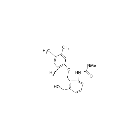 CNC(=O)Nc1cccc(CO)c1COc1cc(C)c(C)cc1C